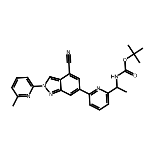 Cc1cccc(-n2cc3c(C#N)cc(-c4cccc(C(C)NC(=O)OC(C)(C)C)n4)cc3n2)n1